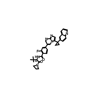 CC(C)(C)[C@@H](NC(=O)c1ccc(-c2cnc3ncc(C4(c5ccc6ncccc6c5)CC4)n3c2)cc1F)C(=O)N1CCC1